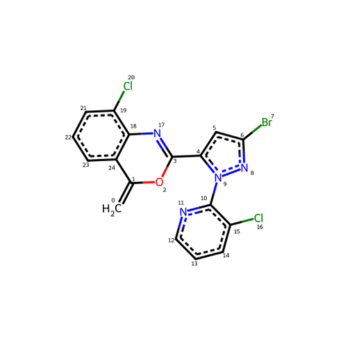 C=C1OC(c2cc(Br)nn2-c2ncccc2Cl)=Nc2c(Cl)cccc21